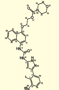 Cc1c(-c2cc(NC(=O)Nc3ccc(OCCOC(=O)N4CCOCC4)c4ccccc34)[nH]n2)cccc1C(C)(C)C